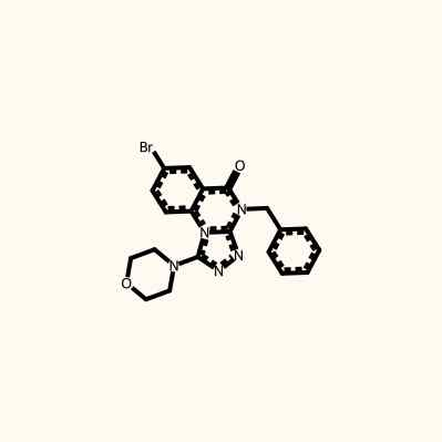 O=c1c2cc(Br)ccc2n2c(N3CCOCC3)nnc2n1Cc1ccccc1